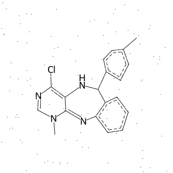 Cc1ccc(C2NC3=C(Cl)N=CN(C)C3=Nc3ccccc32)cc1